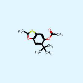 CC(=O)Oc1cc2c(cc1C(C)(C)C)OC(C)S2